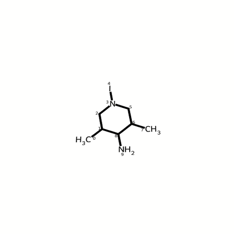 CC1CN(I)CC(C)C1N